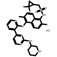 Cc1ccc2c(NS(=O)(=O)CC3CC3(F)F)c(F)ccc2c1Oc1ncccc1-c1ccnc(NC2CCCNC2)n1.Cl